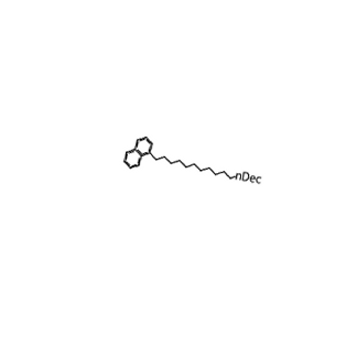 CCCCCCCCCCCCCCCCCCCCCc1cccc2ccccc12